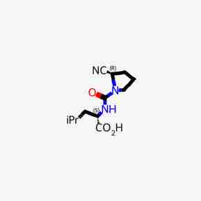 CC(C)C[C@H](NC(=O)N1CCC[C@@H]1C#N)C(=O)O